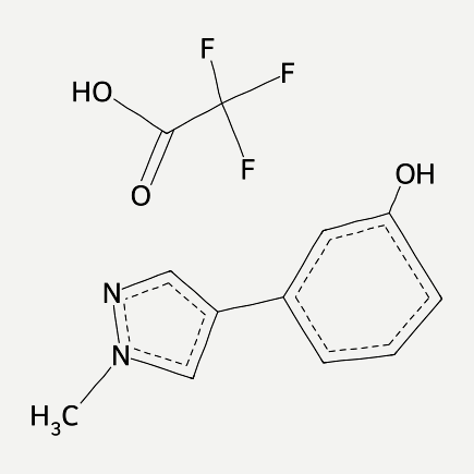 Cn1cc(-c2cccc(O)c2)cn1.O=C(O)C(F)(F)F